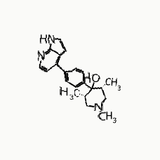 C[C@@H]1CN(C)C[C@H](C)C1(O)c1ccc(-c2ccnc3[nH]ccc23)cc1